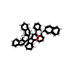 c1ccc(N(c2ccc3ccccc3c2)c2ccccc2-c2ccc3c(c2)C2(c4ccccc4-3)c3ccc4ccccc4c3Oc3c2ccc2ccccc32)cc1